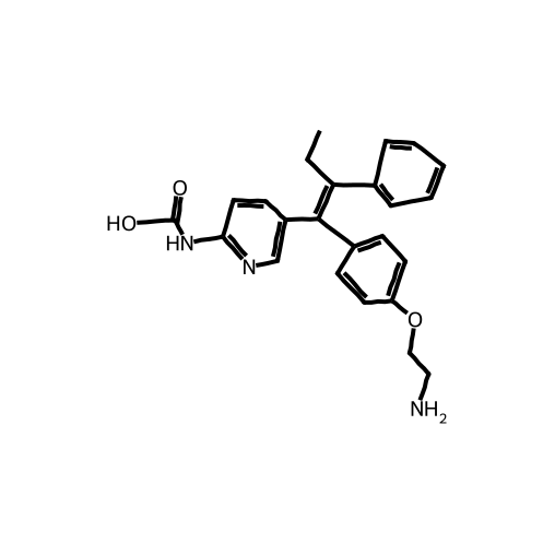 CCC(=C(c1ccc(OCCN)cc1)c1ccc(NC(=O)O)nc1)c1ccccc1